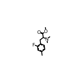 COC(=O)C(Cc1ccc(C)cc1F)N(C)C